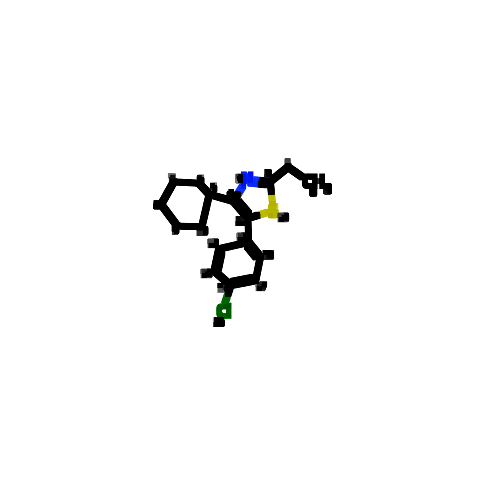 CCc1nc(C2CCCCC2)c(-c2ccc(Cl)cc2)s1